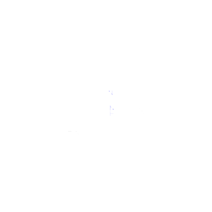 Cc1ccc(CC2=NC(c3ccccc3)C(c3ccccc3)N2)cc1